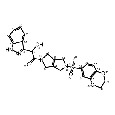 O=C(C(O)c1n[nH]c2ccccc12)N1CC2=C(C1)CN(S(=O)(=O)c1ccc3c(c1)OCCO3)C2